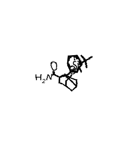 CC(C)(C)[Si](C)(C)OC12CC3CC(C1)[C](c1ccccc1)C(C(N)=O)(C3)C2